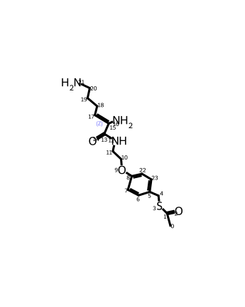 CC(=O)SCc1ccc(OCCNC(=O)/C(N)=C/CCCN)cc1